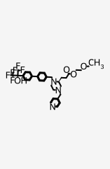 CCOCCOC(=O)CC[C@H]1CN(Cc2ccncc2)CCN1Cc1ccc(-c2ccc(C(O)(C(F)(F)F)C(F)(F)F)cc2)cc1